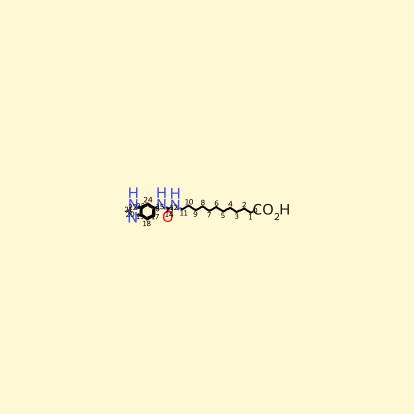 O=C(O)CCCCCCCCCCCNC(=O)Nc1ccc2nc[nH]c2c1